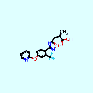 C=C(Cc1nc(-c2ccc(Oc3ccccn3)cc2C(F)(F)F)no1)C(=O)O